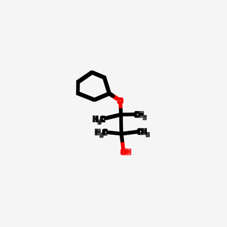 CC(C)(O)C(C)(C)OC1CCCCC1